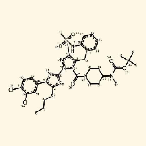 CCCSc1sc(-n2nc(C)c(Cc3ccccc3NS(C)(=O)=O)c2C(=O)N2CCC(N(C)C(=O)OC(C)(C)C)CC2)nc1-c1ccc(Cl)c(Cl)c1